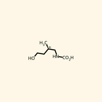 C[C@H](CCO)CNC(=O)O